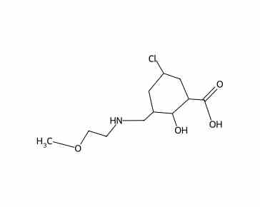 COCCNCC1CC(Cl)CC(C(=O)O)C1O